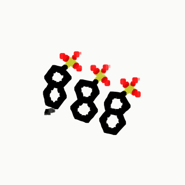 O=S(=O)([O-])c1ccc2ccccc2c1.O=S(=O)([O-])c1ccc2ccccc2c1.O=S(=O)([O-])c1ccc2ccccc2c1.[Al+3]